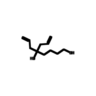 C=CCC(O)(CC=C)CCCCO